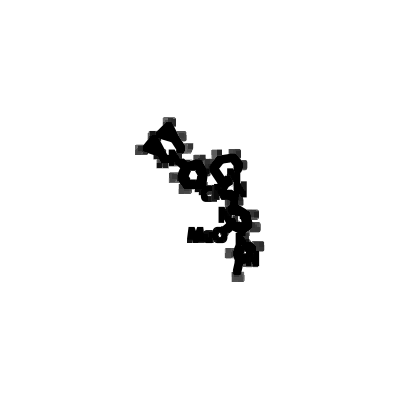 COc1nc(-c2nc3n(n2)CCC[C@H]3c2cc(N(CC3CC3)CC3CC3)ccc2Cl)ccc1-n1cnc(C)c1